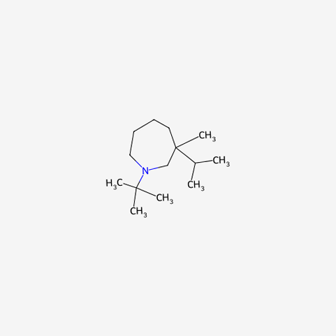 CC(C)C1(C)CCCCN(C(C)(C)C)C1